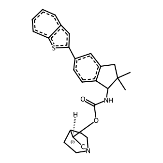 CC1(C)Cc2cc(-c3cc4ccccc4s3)ccc2C1NC(=O)O[C@H]1CN2CCC1CC2